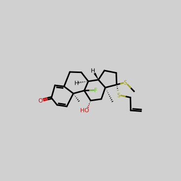 C=CCS[C@@]1(SC)CC[C@H]2[C@@H]3CCC4=CC(=O)C=C[C@]4(C)C3(F)[C@@H](O)C[C@@]21C